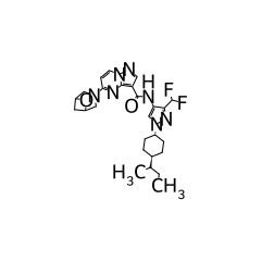 CCC(C)[C@H]1CC[C@H](n2cc(NC(=O)c3cnn4ccc(N5CC6CC(C5)O6)nc34)c(C(F)F)n2)CC1